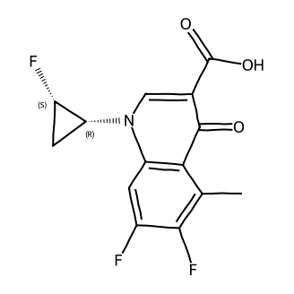 Cc1c(F)c(F)cc2c1c(=O)c(C(=O)O)cn2[C@@H]1C[C@@H]1F